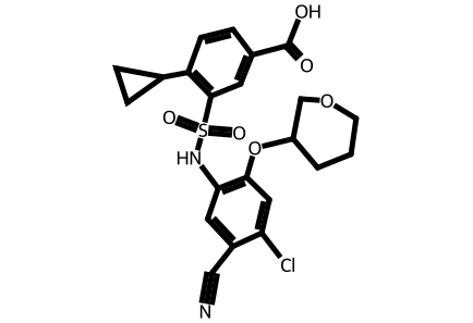 N#Cc1cc(NS(=O)(=O)c2cc(C(=O)O)ccc2C2CC2)c(OC2CCCOC2)cc1Cl